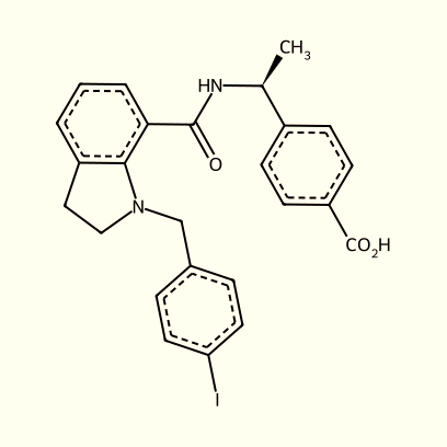 C[C@H](NC(=O)c1cccc2c1N(Cc1ccc(I)cc1)CC2)c1ccc(C(=O)O)cc1